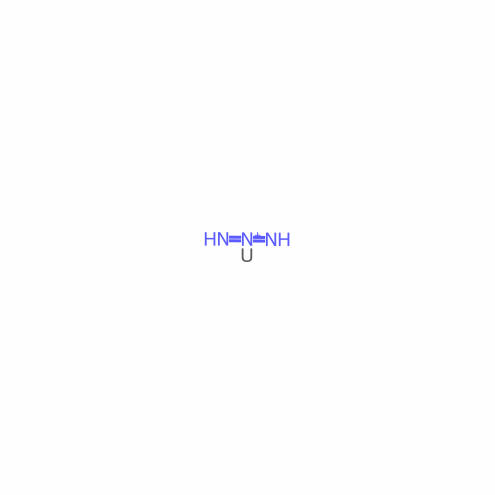 N=[N+]=N.[U]